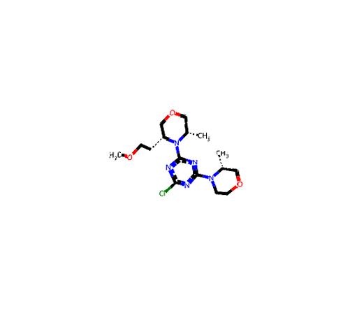 COCC[C@@H]1COC[C@H](C)N1c1nc(Cl)nc(N2CCOC[C@H]2C)n1